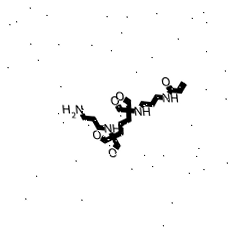 C=CC(=O)NCCCNC(C=O)(C=O)CCCC(C=O)(C=O)NCCCN